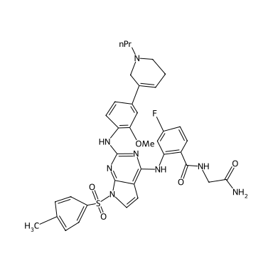 CCCN1CCC=C(c2ccc(Nc3nc(Nc4cc(F)ccc4C(=O)NCC(N)=O)c4ccn(S(=O)(=O)c5ccc(C)cc5)c4n3)c(OC)c2)C1